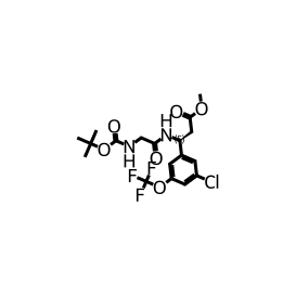 COC(=O)C[C@H](NC(=O)CNC(=O)OC(C)(C)C)c1cc(Cl)cc(OC(F)(F)F)c1